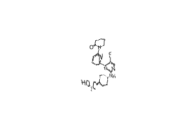 O=C1CCCCN1c1cccc(-c2nc(N[C@H]3CC[C@H](C(=O)O)CC3)ncc2F)n1